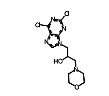 OC(CN1CCOCC1)Cn1cnc2c(Cl)nc(Cl)nc21